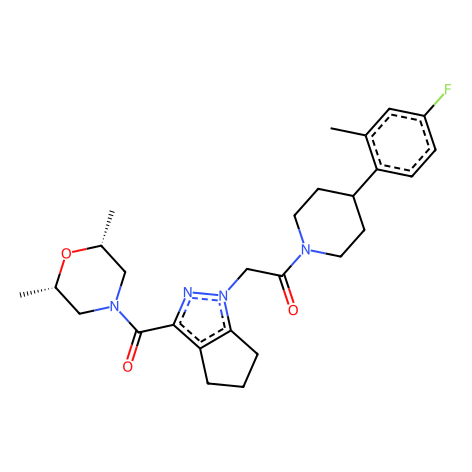 Cc1cc(F)ccc1C1CCN(C(=O)Cn2nc(C(=O)N3C[C@@H](C)O[C@@H](C)C3)c3c2CCC3)CC1